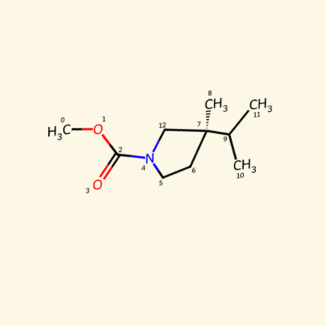 COC(=O)N1CC[C@](C)(C(C)C)C1